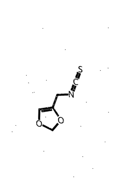 S=C=NCC1=COCO1